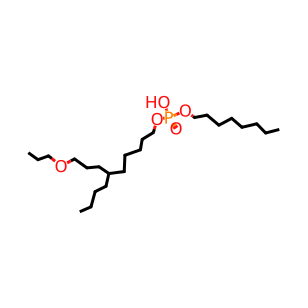 CCCCCCCCOP(=O)(O)OCCCCCC(CCCC)CCCOCCC